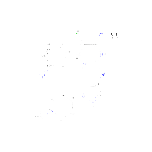 CNc1nc(Nc2cnn(C3CCN(C)CC3)c2)nc(-c2cccc(N)c2)c1Cl